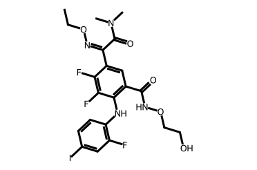 CCON=C(C(=O)N(C)C)c1cc(C(=O)NOCCO)c(Nc2ccc(I)cc2F)c(F)c1F